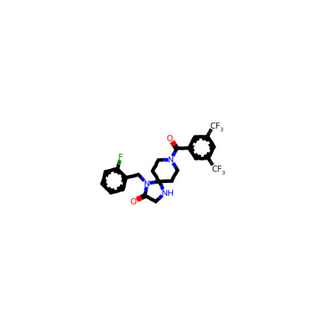 O=C(c1cc(C(F)(F)F)cc(C(F)(F)F)c1)N1CCC2(CC1)NCC(=O)N2Cc1ccccc1F